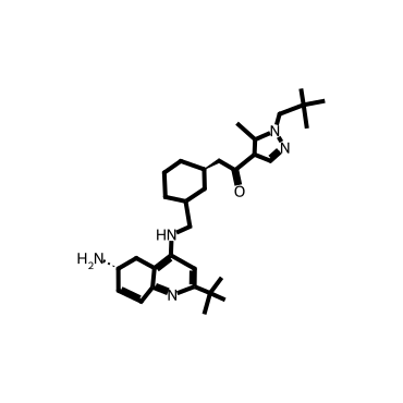 CC1C(C(=O)C[C@@H]2CCCC(CNc3cc(C(C)(C)C)nc4c3C[C@@H](N)C=C4)C2)C=NN1CC(C)(C)C